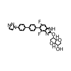 O[C@@H]1CO[C@H]2[C@@H]1OC[C@H]2Oc1nc2c(F)c(-c3ccc(-c4ccc(-n5ccnn5)cc4)cc3)c(F)cc2[nH]1